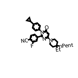 CCCCCC1(CC)CCN(c2cc(=O)n(-c3ccc(C4CC4)cc3)c(-c3ccc(C#N)c(F)c3)n2)CC1